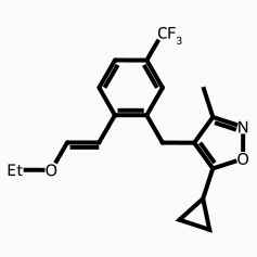 CCOC=Cc1ccc(C(F)(F)F)cc1Cc1c(C)noc1C1CC1